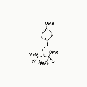 COc1ccc(CCN(P(=O)(OC)OC)P(=O)(OC)OC)cc1